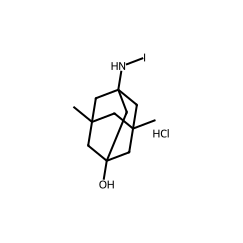 CC12CC3(C)CC(O)(C1)CC(NI)(C2)C3.Cl